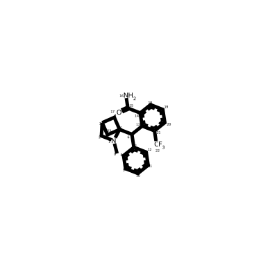 CN1CC2CC1(C(c1ccccc1)c1c(C(N)=O)cccc1C(F)(F)F)C2